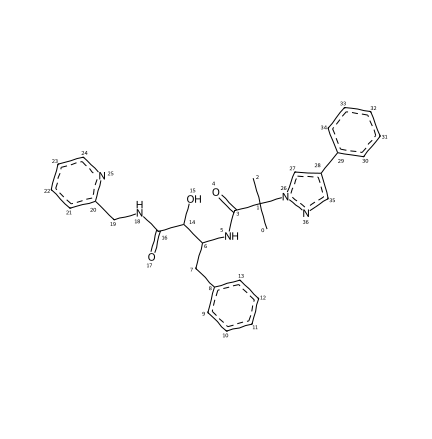 CC(C)(C(=O)NC(Cc1ccccc1)C(O)C(=O)NCc1ccccn1)n1cc(-c2ccccc2)cn1